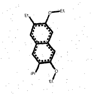 CCOc1cc2cc(OCC)c(C(C)C)cc2cc1CC